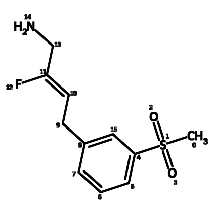 CS(=O)(=O)c1cccc(CC=C(F)CN)c1